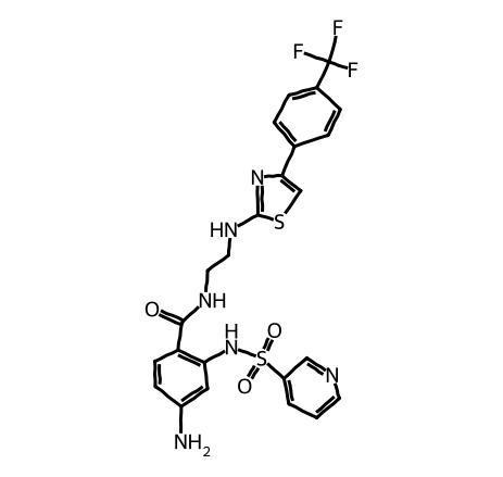 Nc1ccc(C(=O)NCCNc2nc(-c3ccc(C(F)(F)F)cc3)cs2)c(NS(=O)(=O)c2cccnc2)c1